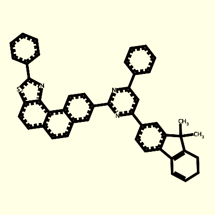 CC1(C)C2=C(C=CCC2)c2ccc(-c3cc(-c4ccccc4)nc(-c4ccc5c(ccc6ccc7sc(-c8ccccc8)nc7c65)c4)n3)cc21